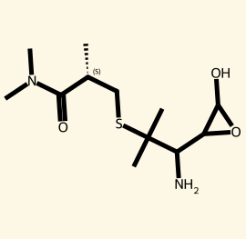 C[C@H](CSC(C)(C)C(N)C1OC1O)C(=O)N(C)C